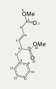 COC(=O)C/C=C/C(Cc1ccccc1)C(=O)OC